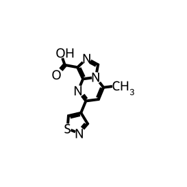 Cc1cc(-c2cnsc2)nc2c(C(=O)O)ncn12